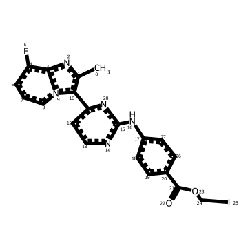 Cc1nc2c(F)cccn2c1-c1ccnc(Nc2ccc(C(=O)OCI)cc2)n1